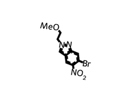 COCCn1cc2cc([N+](=O)[O-])c(Br)cc2n1